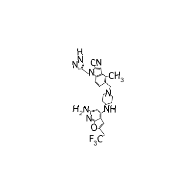 Cc1c(CN2CCC(Nc3cc(N)nc4oc(CC(F)(F)F)cc34)CC2)ccc2c1cc(C#N)n2Cc1cn[nH]c1